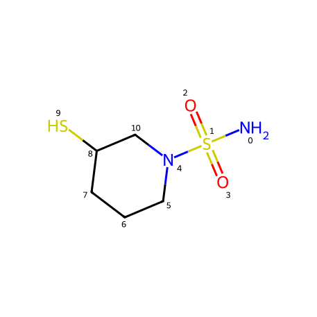 NS(=O)(=O)N1CCCC(S)C1